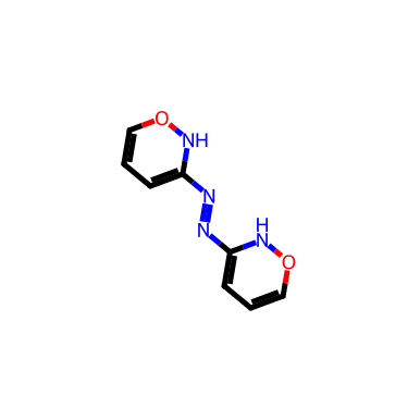 C1=CONC(N=NC2=CC=CON2)=C1